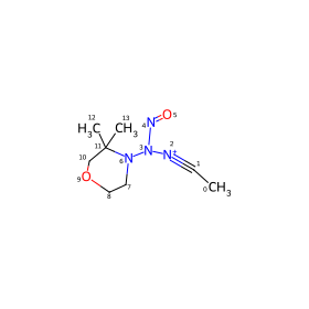 CC#[N+]N(N=O)N1CCOCC1(C)C